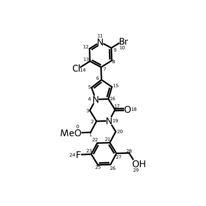 COCC1Cn2cc(-c3cc(Br)ncc3Cl)cc2C(=O)N1Cc1cc(F)ccc1CO